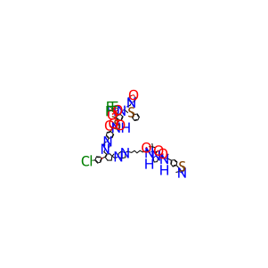 Cc1ncsc1-c1ccc([C@H](C)NC(=O)[C@@H]2CCCN2C(=O)[C@@H](NC(=O)CCCCCCN2CCN(CC3(C)CCC(c4ccc(Cl)cc4)=C(CN4CCN(c5ccc(C(=O)NS(=O)(=O)c6ccc(N[C@H](CCN7CCOCC7)CSc7ccccc7)c(S(=O)(=O)C(F)(F)F)c6)cc5)CC4)C3)CC2)C(C)(C)C)cc1